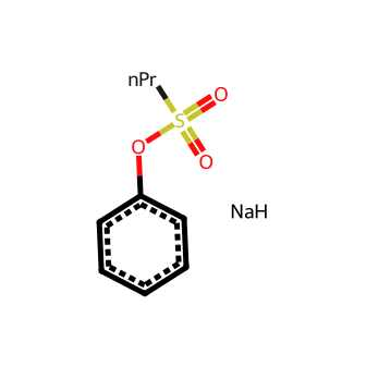 CCCS(=O)(=O)Oc1ccccc1.[NaH]